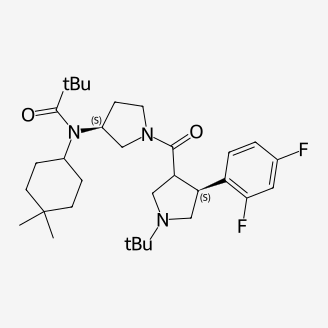 CC1(C)CCC(N(C(=O)C(C)(C)C)[C@H]2CCN(C(=O)C3CN(C(C)(C)C)C[C@@H]3c3ccc(F)cc3F)C2)CC1